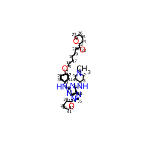 CN1CCC(Nc2nc(Nc3ccc(OCCCCCCC(=O)C4CCCCO4)cc3)nc3c2ncn3C2CCCCO2)CC1